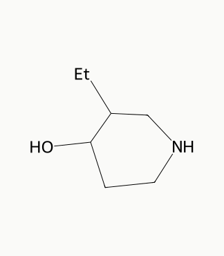 CCC1CNCCC1O